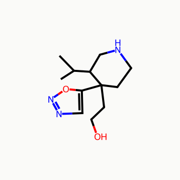 CC(C)C1CNCCC1(CCO)c1cnno1